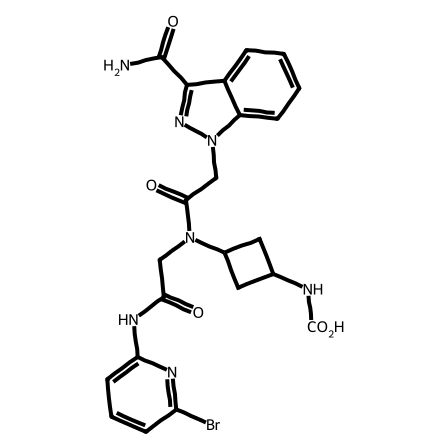 NC(=O)c1nn(CC(=O)N(CC(=O)Nc2cccc(Br)n2)C2CC(NC(=O)O)C2)c2ccccc12